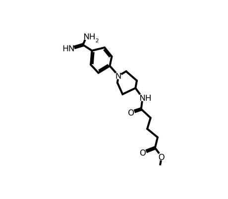 COC(=O)CCCC(=O)NC1CCN(c2ccc(C(=N)N)cc2)CC1